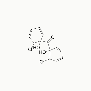 O=C(C1(O)C=CC=CC1Cl)C1(O)C=CC=CC1Cl